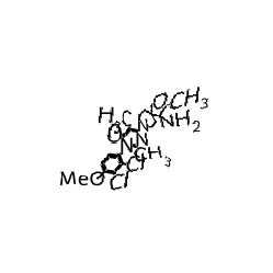 COc1ccc(-n2c(C)nc(N3CCC4(CC3)CO[C@H](C)[C@@H]4N)c(C)c2=O)c(Cl)c1Cl